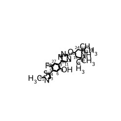 Cc1ncc(-c2cc(O)c(-c3cnc(OC4CC(C)(C)NC(C)(C)C4)nn3)cc2F)s1